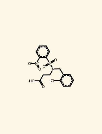 O=C(O)CCN(Cc1ccccc1Cl)S(=O)(=O)c1ccccc1[N+](=O)[O-]